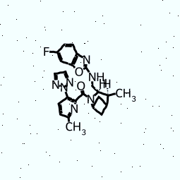 Cc1ccc(-n2nccn2)c(C(=O)N2C3CC(C3)[C@H](C)[C@@H]2CNc2nc3ccc(F)cc3o2)n1